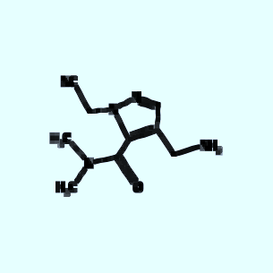 CN(C)C(=O)c1c(CN)cnn1CC#N